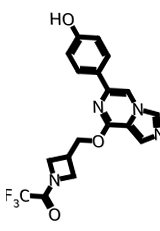 O=C(N1CC(COc2nc(-c3ccc(O)cc3)cn3cncc23)C1)C(F)(F)F